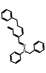 C=C/C=C(C=NN(Cc1ccccc1)c1ccccc1)\C=C/CCc1ccccc1